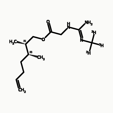 [2H]C([2H])([2H])N=C(N)NCC(=O)OC[C@@H](C)[C@H](C)CCC=C